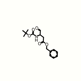 CC(C)(C)OC(=O)NC(C=O)CC(=O)OCc1ccccc1